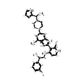 Cc1nc(N2CCN(C(C)c3ccc[nH]3)CC2)nc2[nH]c(-c3c(NCC(O)c4cccc(Cl)c4)cc[nH]c3=O)nc12